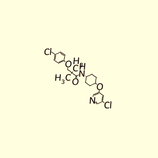 CC(C)(COc1ccc(Cl)cc1)C(=O)N[C@H]1CC[C@H](Oc2cncc(Cl)c2)CC1